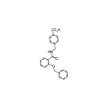 O=C(O)c1ccc(CNC(=O)c2ccccc2OCc2ccccc2)cc1